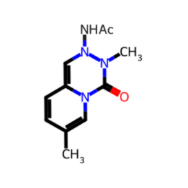 CC(=O)NN1C=C2C=CC(C)=CN2C(=O)N1C